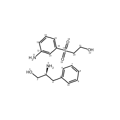 N[C@H](CO)Cc1ccccc1.Nc1cccc(S(=O)(=O)CCO)c1